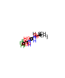 C[Si](C)(C)CCOC(=O)NCc1ccc(NC=C(C(=O)O)C(=O)c2cc(F)c(F)c(F)c2F)c(O)c1